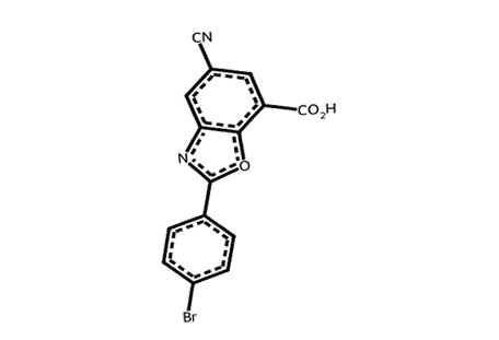 N#Cc1cc(C(=O)O)c2oc(-c3ccc(Br)cc3)nc2c1